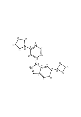 C1=c2cnn(-c3ccnc(N4CCCC4)c3)c2=CC(C2CCC2)C1